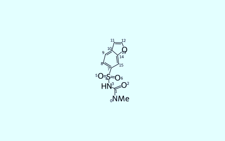 CNC(=O)NS(=O)(=O)c1ccc2ccoc2c1